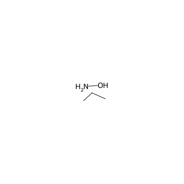 CCC.NO